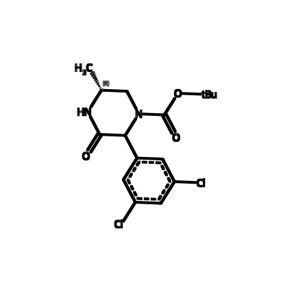 C[C@@H]1CN(C(=O)OC(C)(C)C)C(c2cc(Cl)cc(Cl)c2)C(=O)N1